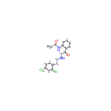 CC(=O)Nc1ccccc1C(=O)CNCCc1ccc(Cl)cc1Cl